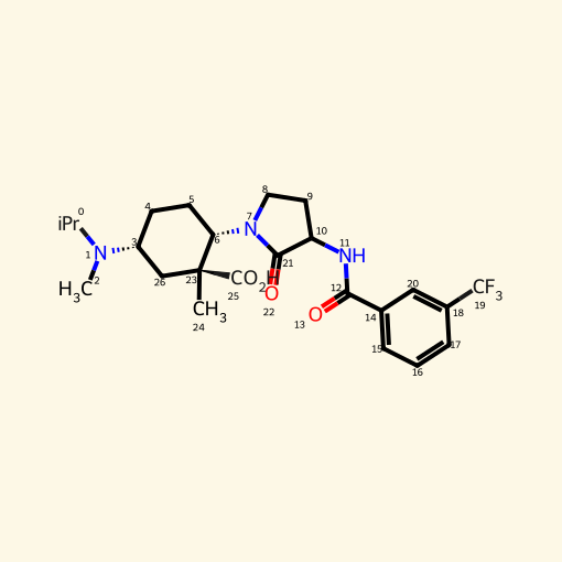 CC(C)N(C)[C@@H]1CC[C@H](N2CCC(NC(=O)c3cccc(C(F)(F)F)c3)C2=O)[C@@](C)(C(=O)O)C1